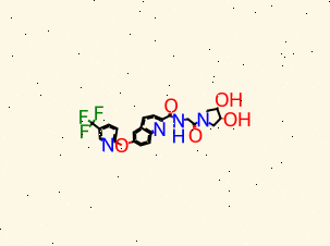 O=C(NCC(=O)N1C[C@@H](O)[C@H](O)C1)c1ccc2cc(Oc3ccc(C(F)(F)F)cn3)ccc2n1